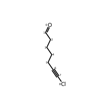 O=[C]CCCCC#CCl